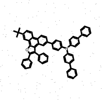 CC(C)(C)c1ccc2c3ccc(-c4ccc(N(c5ccc(-c6ccccc6)cc5)c5ccc(-c6ccccc6)cc5)cc4)cc3c3c(-c4ccccc4)c(-c4ccccc4)oc3c2c1